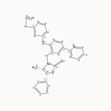 C[C@H]1[C@@H](c2ccccc2)OC(=O)N1Cc1cc(-c2ccccn2)ccc1Oc1cccc(CC(=O)O)c1